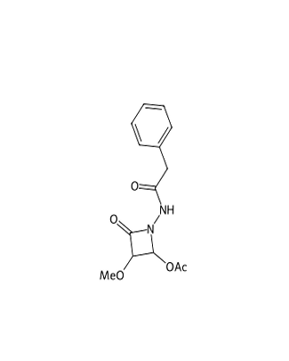 COC1C(=O)N(NC(=O)Cc2ccccc2)C1OC(C)=O